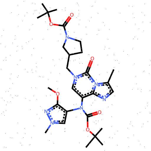 COc1nn(C)cc1N(C(=O)OC(C)(C)C)c1cn(CC2CCN(C(=O)OC(C)(C)C)C2)c(=O)n2c(C)cnc12